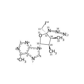 Cc1ncnc2c1ncn2[C@@H]1O[C@@](CI)(N=[N+]=[N-])[C@@H](C)[C@H]1C